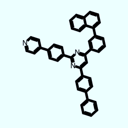 c1ccc(-c2ccc(-c3cc(-c4cccc(-c5cccc6ccccc56)c4)nc(-c4ccc(-c5ccncc5)cc4)n3)cc2)cc1